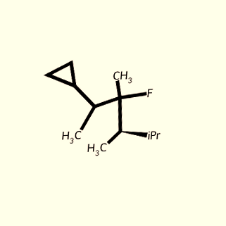 CC(C)[C@@H](C)C(C)(F)C(C)C1CC1